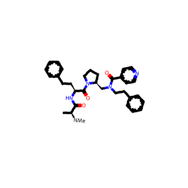 CN[C@@H](C)C(=O)N[C@@H](CCc1ccccc1)C(=O)N1CCC[C@H]1CN(CCc1ccccc1)C(=O)c1ccncc1